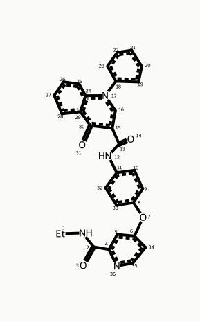 CCNC(=O)c1cc(Oc2ccc(NC(=O)c3cn(-c4ccccc4)c4ccccc4c3=O)cc2)ccn1